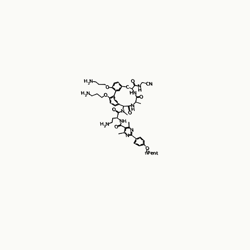 CCCCCOc1ccc(-c2nc(C)c(C(=O)NC(CCN)C(=O)N(C)C3C(=O)NC(C)C(=O)NC(C(=O)NCC#N)Cc4ccc(OCCCN)c(c4)-c4cc3ccc4OCCCN)c(C)n2)cc1